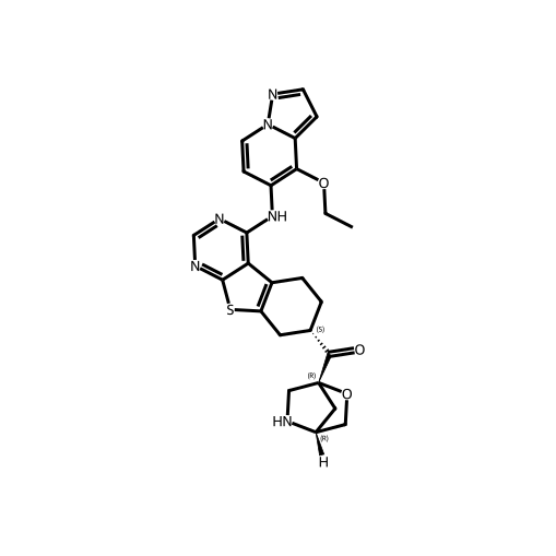 CCOc1c(Nc2ncnc3sc4c(c23)CC[C@H](C(=O)[C@@]23CN[C@@H](CO2)C3)C4)ccn2nccc12